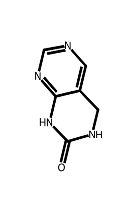 O=C1NCc2cncnc2N1